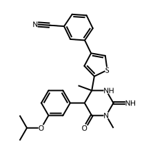 CC(C)Oc1cccc(C2C(=O)N(C)C(=N)NC2(C)c2cc(-c3cccc(C#N)c3)cs2)c1